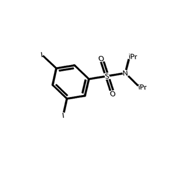 CC(C)N(C(C)C)S(=O)(=O)c1cc(I)cc(I)c1